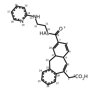 O=C(O)CC1=CC2C=CC(C(=O)[AsH]CCNc3ccccn3)=CC2Cc2ccccc21